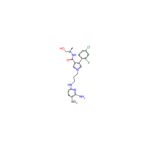 C[C@H](CO)NC(=O)c1cn(CCCNc2ccc([N+](=O)[O-])c(N)n2)cc1-c1ccc(Cl)cc1F